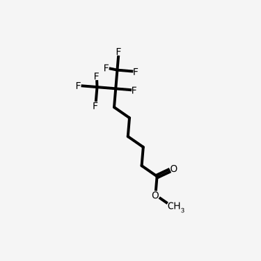 COC(=O)CCCCCC(F)(C(F)(F)F)C(F)(F)F